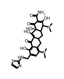 CN(C)c1cc(CNc2nccs2)c(O)c2c1CC1CC3C(N(C)C)C(O)=C(C(N)=O)C(=O)[C@@]3(O)C(O)=C1C2=O